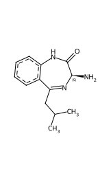 CC(C)CC1=N[C@H](N)C(=O)Nc2ccccc21